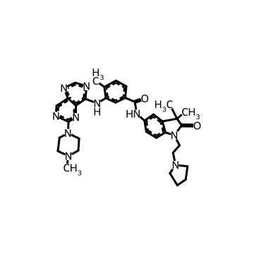 Cc1ccc(C(=O)Nc2ccc3c(c2)C(C)(C)C(=O)N3CCN2CCCC2)cc1Nc1ncnc2cnc(N3CCN(C)CC3)nc12